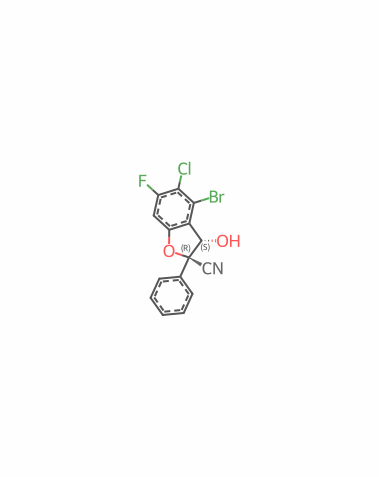 N#C[C@@]1(c2ccccc2)Oc2cc(F)c(Cl)c(Br)c2[C@@H]1O